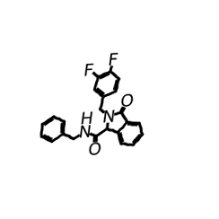 O=C(NCc1ccccc1)C1c2ccccc2C(=O)N1Cc1ccc(F)c(F)c1